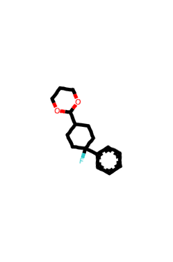 FC1(c2ccccc2)CCC(C2OCCCO2)CC1